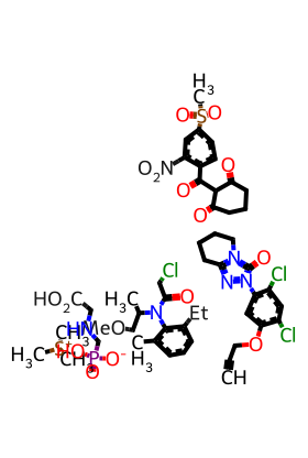 C#CCOc1cc(-n2nc3n(c2=O)CCCC3)c(Cl)cc1Cl.CCc1cccc(C)c1N(C(=O)CCl)C(C)COC.CS(=O)(=O)c1ccc(C(=O)C2C(=O)CCCC2=O)c([N+](=O)[O-])c1.C[S+](C)C.O=C(O)CNCP(=O)([O-])O